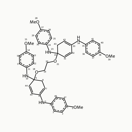 COc1ccc(NC2=CCC(Nc3ccc(OC)cc3)(OCCOC3(Nc4ccc(OC)cc4)C=CC(Nc4ccc(OC)cc4)=CC3)C=C2)cc1